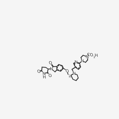 O=C1CCC(N2Cc3cc(OC[C@H]4CCCCN4Cc4ccc(N5CCN(C(=O)O)CC5)nc4)ccc3C2=O)C(=O)N1